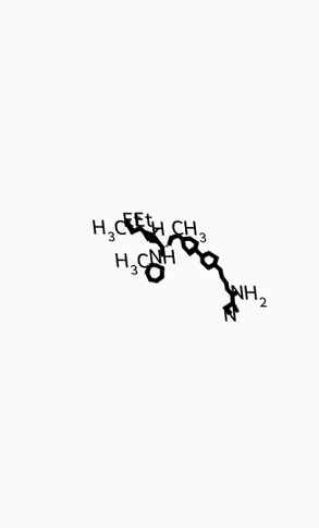 CC/C(C)=C\C(CC)C1C2C([C@H](CCC(C)C3CC=C(C4CCC(CCCCC(N)C5C=NC5)CC4)CC3)CNC3CCCCCC3C)[C@@H]12